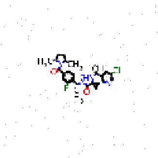 C=C(NC1(C(=O)N[C@H](C)c2ccc(C(=O)N3C(C)CCC3C)cc2F)CC1)c1cncc(Cl)c1